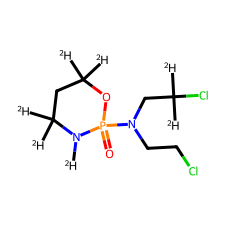 [2H]N1C([2H])([2H])CC([2H])([2H])OP1(=O)N(CCCl)CC([2H])([2H])Cl